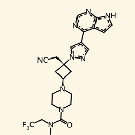 CN(CC(F)(F)F)C(=O)N1CCN([C@H]2C[C@](CC#N)(n3cc(-c4ncnc5[nH]ccc45)cn3)C2)CC1